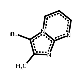 CCC(C)c1c(C)nc2ncccn12